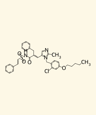 CCCCCOc1ccc(Cn2c(/C=C(\Cc3ccccc3)C(=O)NS(=O)(=O)/C=C/c3ccccc3)cnc2C)c(Cl)c1